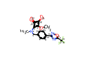 COc1c(N(C)Cc2ccc(-c3noc(C(F)(F)F)n3)cc2)c(=O)c1=O